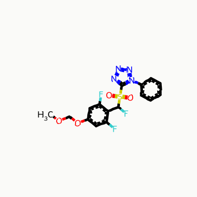 COCOc1cc(F)c(C(F)S(=O)(=O)c2nnnn2-c2ccccc2)c(F)c1